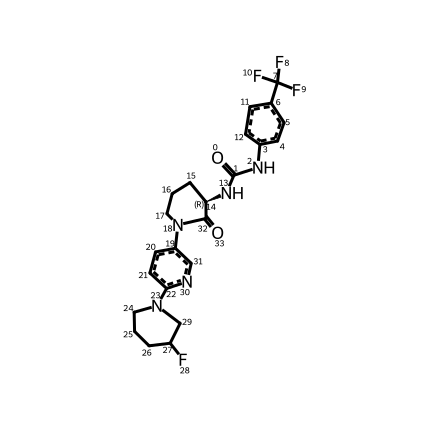 O=C(Nc1ccc(C(F)(F)F)cc1)N[C@@H]1CCCN(c2ccc(N3CCCC(F)C3)nc2)C1=O